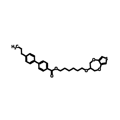 CCCc1ccc(-c2ccc(C(=O)OCCCCCCOC3COc4cscc4OC3)cc2)cc1